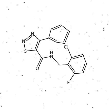 O=C(NCc1c(F)cccc1Cl)c1snnc1-c1ccccc1